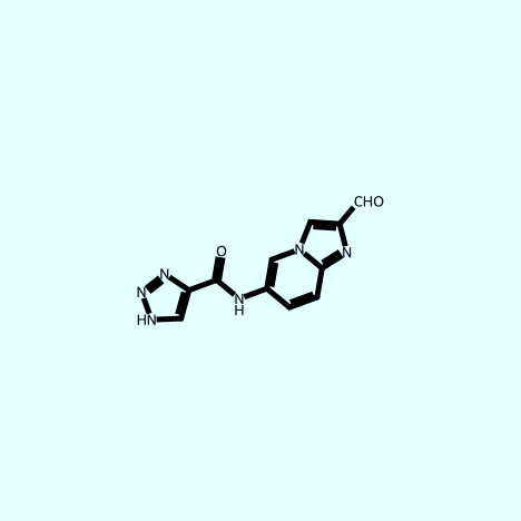 O=Cc1cn2cc(NC(=O)c3c[nH]nn3)ccc2n1